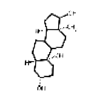 C[C@]12CCC3C(CC[C@H]4C[C@@H](O)CC[C@]34C)[C@H]1CC[C@H]2O